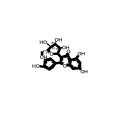 O=c1c(C2O[C@H](CO)[C@@H](O)[C@H](O)[C@H]2O)c(-c2ccc(O)cc2)oc2cc(O)cc(O)c12